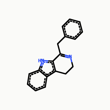 c1ccc(CC2=NCCc3c2[nH]c2ccccc32)cc1